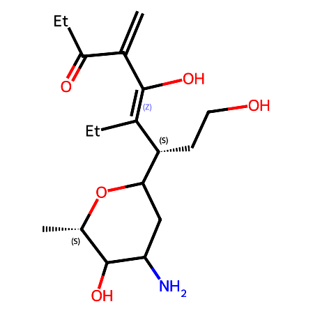 C=C(C(=O)CC)/C(O)=C(\CC)[C@H](CCO)C1CC(N)C(O)[C@H](C)O1